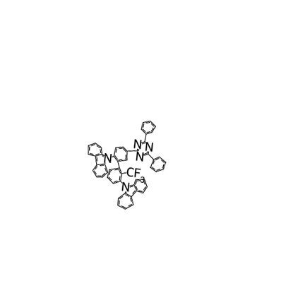 FC(F)(F)c1c(-c2cc(-c3nc(-c4ccccc4)nc(-c4ccccc4)n3)ccc2-n2c3ccccc3c3ccccc32)cccc1-n1c2ccccc2c2ccccc21